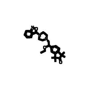 CCOC(CN1CCN(c2onc3ccccc23)CC1)c1ccc2c(c1)C(C)(C)C(=O)C2(C)C